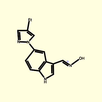 CCc1cnn(-c2ccc3[nH]cc(/C=N/O)c3c2)c1